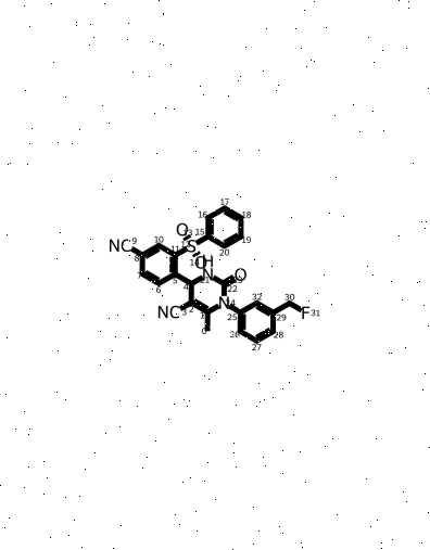 CC1=C(C#N)C(c2ccc(C#N)cc2S(=O)(=O)c2ccccc2)NC(=O)N1c1cccc(CF)c1